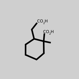 CC1(C(=O)O)CCCCC1CC(=O)O